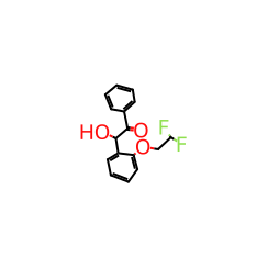 O=C(c1ccccc1)C(O)c1ccccc1OCC(F)F